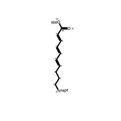 CCCCCCCCCCC=CC=CC=CC(=O)OC